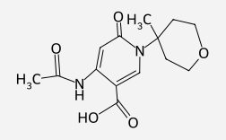 CC(=O)Nc1cc(=O)n(C2(C)CCOCC2)cc1C(=O)O